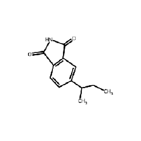 CCC(C)c1ccc2c(c1)C(=O)NC2=O